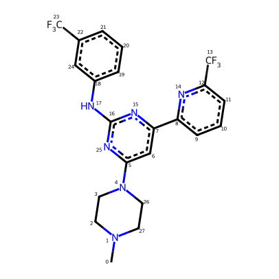 CN1CCN(c2cc(-c3cccc(C(F)(F)F)n3)nc(Nc3cccc(C(F)(F)F)c3)n2)CC1